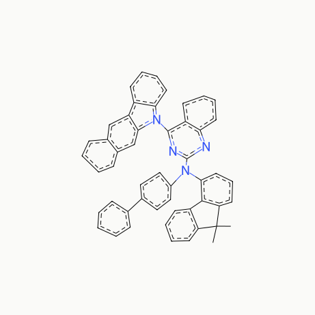 CC1(C)c2ccccc2-c2c(N(c3ccc(-c4ccccc4)cc3)c3nc(-n4c5ccccc5c5cc6ccccc6cc54)c4ccccc4n3)cccc21